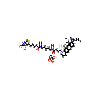 CN(C)c1ccc2c(c1)C(C)(C)c1cc3c(cc1=C2)CCC[N+]=3CCCC(=O)NCCCCCNC(=O)CCCCC1SCC2NC(=O)NC21.[O-][Cl+3]([O-])([O-])[O-]